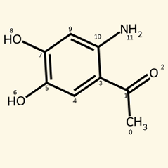 CC(=O)c1cc(O)c(O)cc1N